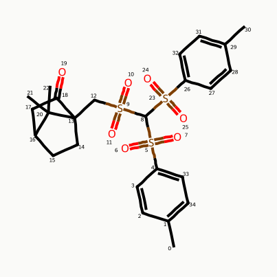 Cc1ccc(S(=O)(=O)C(S(=O)(=O)CC23CCC(CC2=O)C3(C)C)S(=O)(=O)c2ccc(C)cc2)cc1